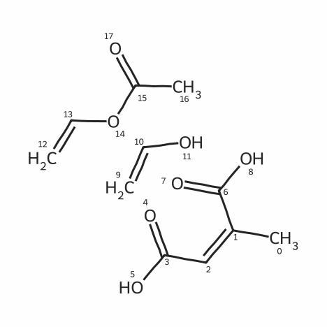 C/C(=C/C(=O)O)C(=O)O.C=CO.C=COC(C)=O